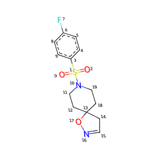 O=S(=O)(c1ccc(F)cc1)N1CCC2(CC=NO2)CC1